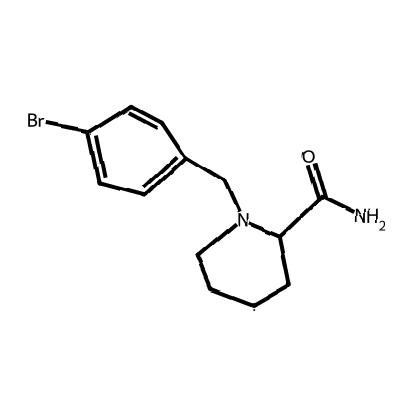 NC(=O)C1C[CH]CCN1Cc1ccc(Br)cc1